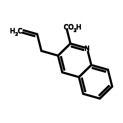 C=CCc1cc2ccccc2nc1C(=O)O